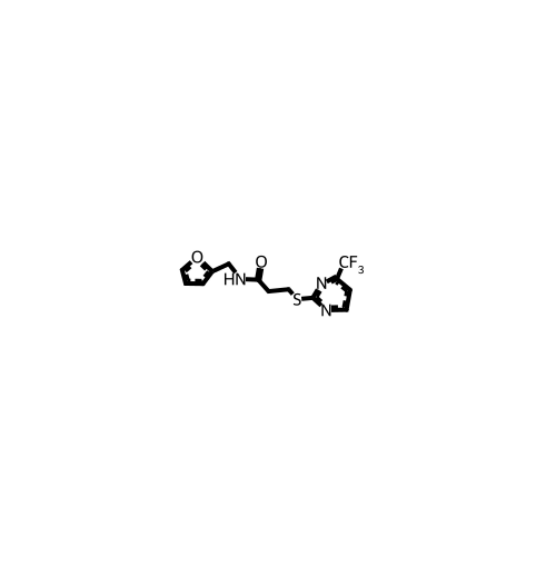 O=C(CCSc1nccc(C(F)(F)F)n1)NCc1ccco1